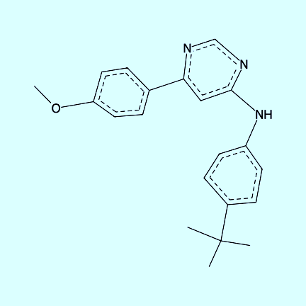 COc1ccc(-c2cc(Nc3ccc(C(C)(C)C)cc3)ncn2)cc1